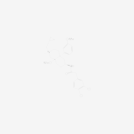 COc1cccc([C@@]23CC[N@+](C)(CC4CC4)CC2(OC)CC[C@H](NC(=O)Cc2ccc(Cl)c(Cl)c2)C3)c1